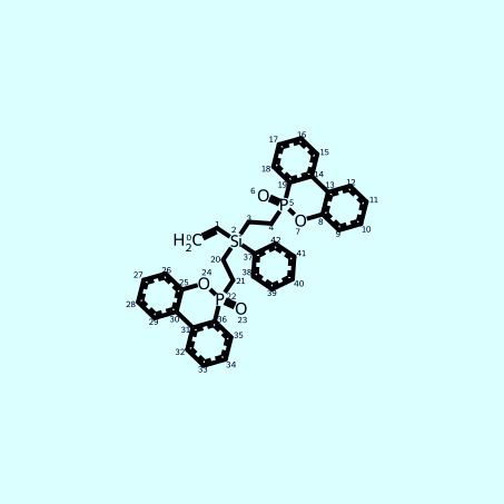 C=C[Si](CCP1(=O)Oc2ccccc2-c2ccccc21)(CCP1(=O)Oc2ccccc2-c2ccccc21)c1ccccc1